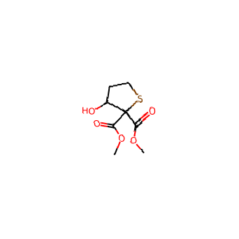 COC(=O)C1(C(=O)OC)SCCC1O